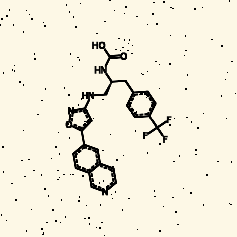 O=C(O)N[C@H](CNc1cc(-c2ccc3cnccc3c2)on1)Cc1ccc(C(F)(F)F)cc1